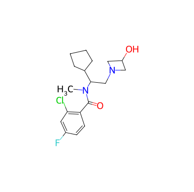 CN(C(=O)c1ccc(F)cc1Cl)C(CN1CC(O)C1)C1CCCC1